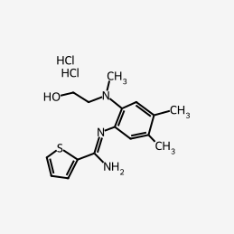 Cc1cc(N=C(N)c2cccs2)c(N(C)CCO)cc1C.Cl.Cl